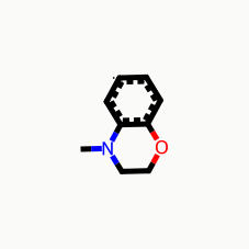 CN1CCOc2cc[c]cc21